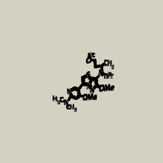 CCCN(c1c(OC)nn2c(-c3cnc(N(C)C)cc3OC)csc12)C(C)CCOCC